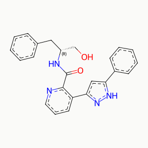 O=C(N[C@@H](CO)Cc1ccccc1)c1ncccc1-c1cc(-c2ccccc2)[nH]n1